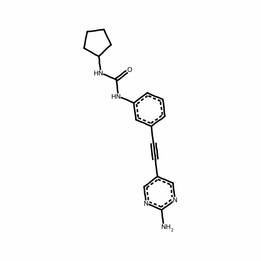 Nc1ncc(C#Cc2cccc(NC(=O)NC3CCCC3)c2)cn1